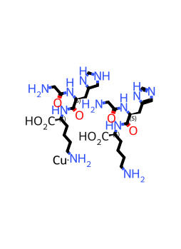 NCCCC[C@H](NC(=O)[C@H](CC1CNCN1)NC(=O)CN)C(=O)O.NCCCC[C@H](NC(=O)[C@H](Cc1cnc[nH]1)NC(=O)CN)C(=O)O.[Cu]